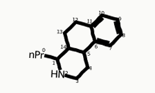 CCCC1NCCC2c3ccccc3CCC12